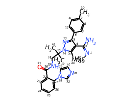 C/N=C(/N)c1c(-c2ccc(C)cc2)nn(C(C)(C)CNC(=O)c2ccccc2-n2ccnc2)c1NC